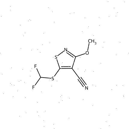 COc1nsc(SC(F)F)c1C#N